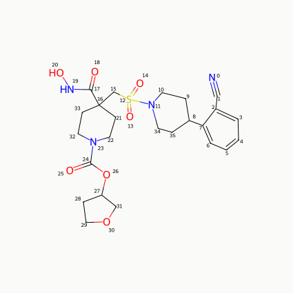 N#Cc1ccccc1C1CCN(S(=O)(=O)CC2(C(=O)NO)CCN(C(=O)OC3CCOC3)CC2)CC1